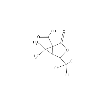 CC1(C)C2C(C(Cl)(Cl)Cl)OC(=O)C21C(=O)O